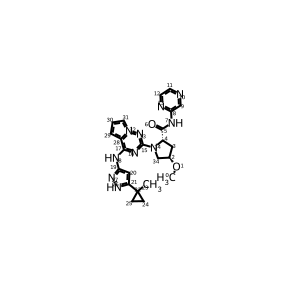 CO[C@@H]1C[C@@H](C(=O)Nc2cnccn2)N(c2nc(Nc3cc(C4(C)CC4)[nH]n3)c3cccn3n2)C1